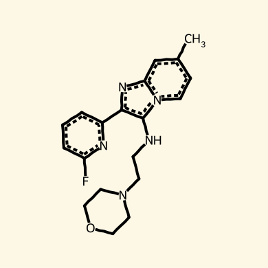 Cc1ccn2c(NCCN3CCOCC3)c(-c3cccc(F)n3)nc2c1